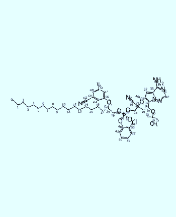 CCCCCCCCCCCCCCCCCC[C@@H](COP(=O)(OC[C@](C#N)(C[C@@H](OC(C)(C)O)c1ccc2c(N)ncnn12)OC)Oc1ccccc1Cl)Oc1cc(F)cc(C#N)c1